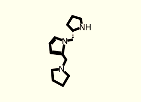 c1cc(CN2CCCC2)n(C[C@@H]2CCCN2)c1